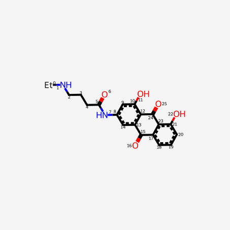 CCNCCCC(=O)Nc1cc(O)c2c(c1)C(=O)c1cccc(O)c1C2=O